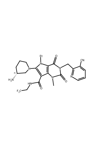 CCn1c(N2CCC[C@@H](N)C2)c(C(=O)NCC(F)(F)F)c2c1c(=O)n(Cc1ncccc1C#N)c(=O)n2C